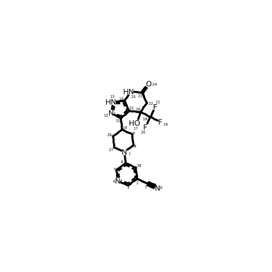 N#Cc1cncc(N2CCC(c3n[nH]c4c3C(O)(C(F)(F)F)CC(=O)N4)CC2)c1